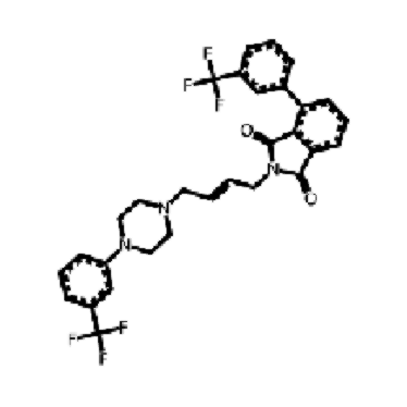 O=C1c2cccc(-c3cccc(C(F)(F)F)c3)c2C(=O)N1C/C=C/CN1CCN(c2cccc(C(F)(F)F)c2)CC1